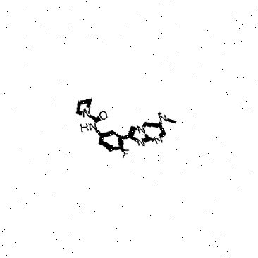 CN(C)c1cnc2nc(-c3cc(NC(=O)N4CCC4)ccc3F)cn2c1